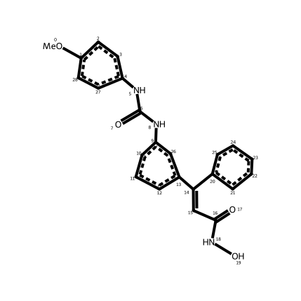 COc1ccc(NC(=O)Nc2cccc(C(=CC(=O)NO)c3ccccc3)c2)cc1